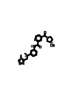 C[C@H](Cc1nncn1C)c1cccc(NC(=O)c2cc(C(=O)N3CC[C@H](C#N)C3)ccn2)c1